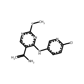 C=C(N)c1cnc(SC)nc1Nc1ccc(Cl)nc1